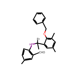 CCC(C)(Pc1ccc(C)cc1C=O)c1cc(C)cc(C)c1OCc1ccccc1